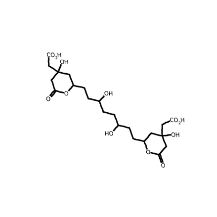 O=C(O)CC1(O)CC(=O)OC(CCC(O)CCC(O)CCC2CC(O)(CC(=O)O)CC(=O)O2)C1